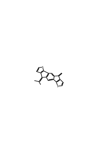 C=C1c2cc3c(cc2-c2sccc21)C(=C(C)C)c1ccsc1-3